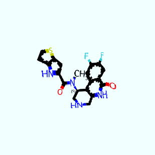 CN(C(=O)c1cc2sccc2[nH]1)[C@@H]1CNCc2[nH]c(=O)c3cc(F)c(F)cc3c21